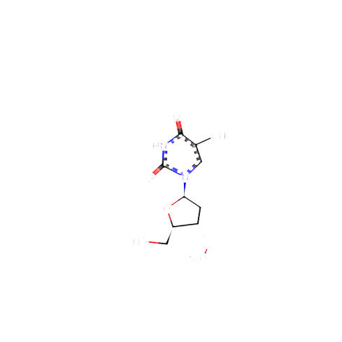 CC(=O)OO[C@H]1C[C@H](n2cc(C)c(=O)[nH]c2=O)O[C@@H]1CO